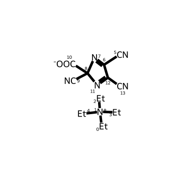 CC[N+](CC)(CC)CC.N#CC1=NC(C#N)(C(=O)[O-])N=C1C#N